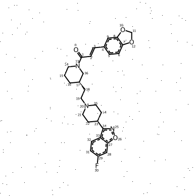 O=C(/C=C/c1ccc2c(c1)OCO2)N1CCC[C@H](CCN2CCC(c3noc4cc(F)ccc34)CC2)C1